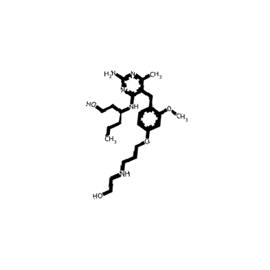 CCC[C@@H](CCO)Nc1nc(N)nc(C)c1Cc1ccc(OCCCNCCO)cc1OC